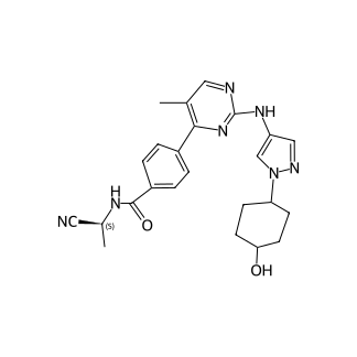 Cc1cnc(Nc2cnn(C3CCC(O)CC3)c2)nc1-c1ccc(C(=O)N[C@@H](C)C#N)cc1